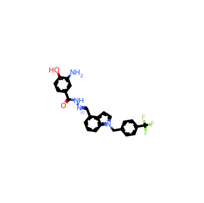 Nc1cc(C(=O)N/N=C/c2cccc3c2ccn3Cc2ccc(C(F)(F)F)cc2)ccc1O